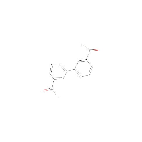 O=C(Br)c1cccc(-c2cccc(C(=O)Br)c2)c1